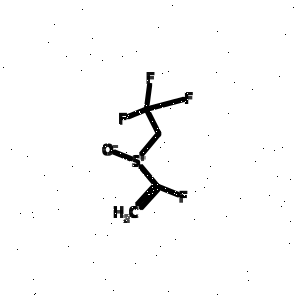 C=C(F)[S+]([O-])CC(F)(F)F